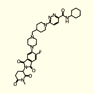 CN1C(=O)CCC(N2C(=O)c3cc(F)c(N4CCN(CC5CCN(c6ccc(C(=O)NC7CCCCC7)nn6)CC5)CC4)cc3C2=O)C1=O